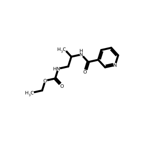 CCOC(=O)NCC(C)NC(=O)c1cccnc1